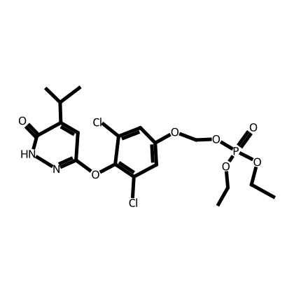 CCOP(=O)(OCC)OCOc1cc(Cl)c(Oc2cc(C(C)C)c(=O)[nH]n2)c(Cl)c1